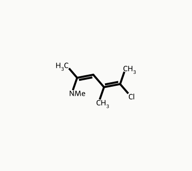 CN/C(C)=C\C(C)=C(/C)Cl